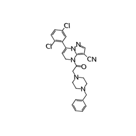 N#Cc1cnn2c1N(C(=O)CN1CCN(Cc3ccccc3)CC1)CC=C2c1cc(Cl)ccc1Cl